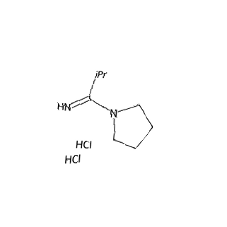 CC(C)C(=N)N1CCCC1.Cl.Cl